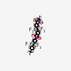 CC(C)(I)c1ccc(C(c2ccc(N3C(=O)c4ccc(C(c5ccc6c(c5)C(=O)N(C(C)(C)I)C6=O)(C(F)(F)F)C(F)(F)F)cc4C3=O)cc2)(C(F)(F)F)C(F)(F)F)cc1